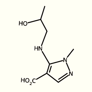 CC(O)CNc1c(C(=O)O)cnn1C